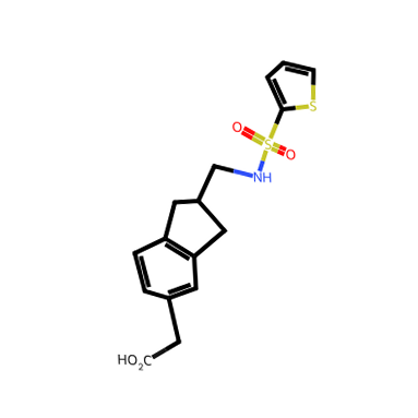 O=C(O)Cc1ccc2c(c1)CC(CNS(=O)(=O)c1cccs1)C2